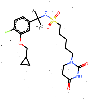 CC(C)(NS(=O)(=O)CCCCCN1CCC(=O)NC1=O)c1ccc(F)c(OCC2CC2)c1